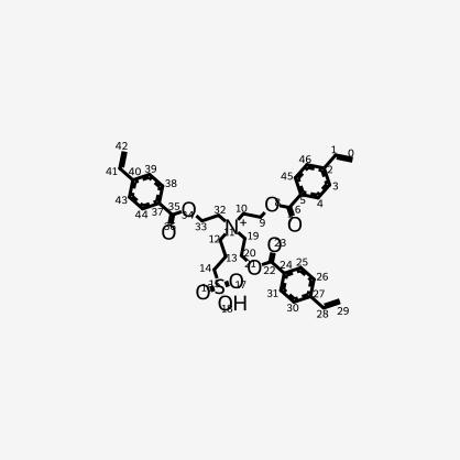 C=Cc1ccc(C(=O)OCC[N+](CCCS(=O)(=O)O)(CCOC(=O)c2ccc(C=C)cc2)CCOC(=O)c2ccc(C=C)cc2)cc1